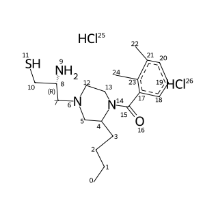 CCCCC1CN(C[C@@H](N)CS)CCN1C(=O)c1cccc(C)c1C.Cl.Cl